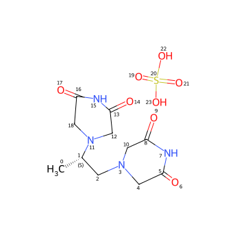 C[C@@H](CN1CC(=O)NC(=O)C1)N1CC(=O)NC(=O)C1.O=S(=O)(O)O